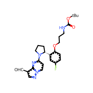 CC(C)(C)OC(=O)NCCCOc1ccc(F)cc1[C@H]1CCCN1c1ccn2ncc(C=O)c2n1